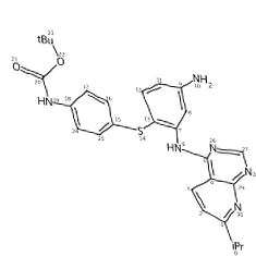 CC(C)c1ccc2c(Nc3cc(N)ccc3Sc3ccc(NC(=O)OC(C)(C)C)cc3)ncnc2n1